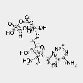 C[C@]1(N)[C@@H](c2cnc3c(N)ncnn23)O[C@H](COP(=O)(O)OP(=O)(O)OP(=O)(O)O)[C@H]1O